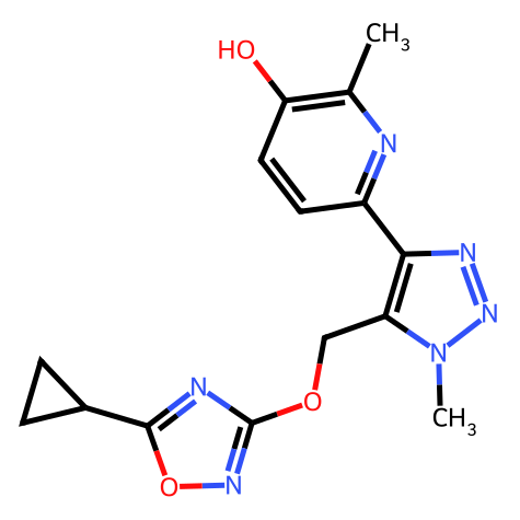 Cc1nc(-c2nnn(C)c2COc2noc(C3CC3)n2)ccc1O